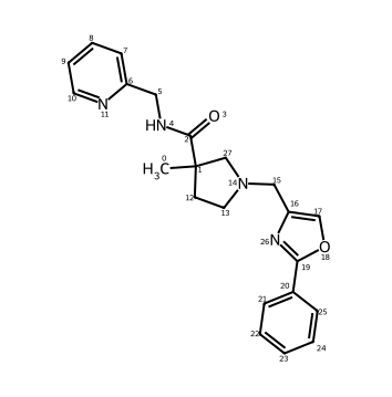 CC1(C(=O)NCc2ccccn2)CCN(Cc2coc(-c3ccccc3)n2)C1